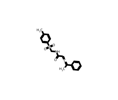 CC(=C=CC(=O)NCS(=O)(=O)c1ccc(C)cc1)c1ccccc1